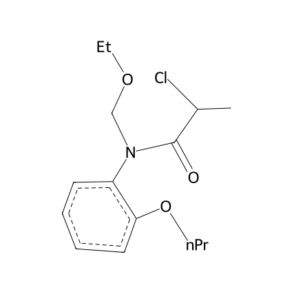 CCCOc1ccccc1N(COCC)C(=O)C(C)Cl